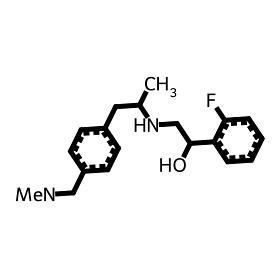 CNCc1ccc(CC(C)NCC(O)c2ccccc2F)cc1